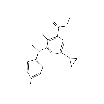 COC(=O)c1nc(C2CC2)nc(N(C)c2ccc(Cl)cc2)c1Cl